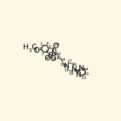 COc1ccc2c(c1)S(=O)(=O)N(CCCCN1CCN(c3ncccn3)CC1)C2=O